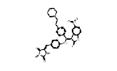 CN1C(=O)N/C(=C\c2ccc(N/C(=C3\C(=O)Nc4ccc([N+](=O)[O-])cc43)c3ccc(CCN4CCCCC4)cc3)cc2)C1=O